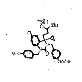 COc1ccc(CN2C(=O)N(Cc3ccc(OC)cc3)C(CCC(O[SiH](C)C)C(C)(C)C)(C3CC3)c3cc(Cl)ccc32)cc1